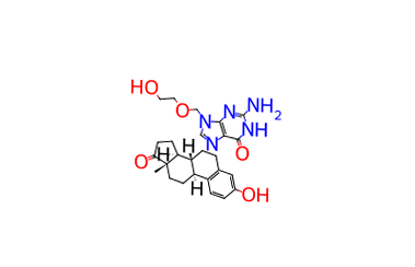 C[C@]12CC[C@@H]3c4ccc(O)cc4CC[C@H]3[C@@H]1CCC2=O.Nc1nc2c(ncn2COCCO)c(=O)[nH]1